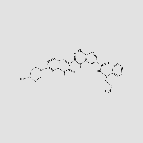 NCCC(NC(=O)c1ccc(Cl)c(NC(=O)c2cc3cnc(N4CCC(N)CC4)nc3[nH]c2=O)c1)c1ccccc1